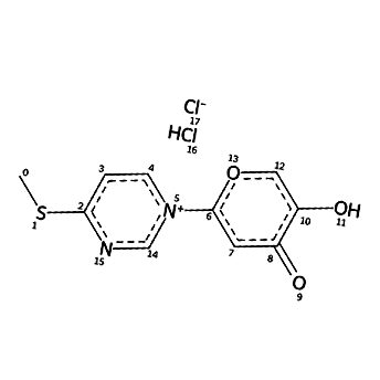 CSc1cc[n+](-c2cc(=O)c(O)co2)cn1.Cl.[Cl-]